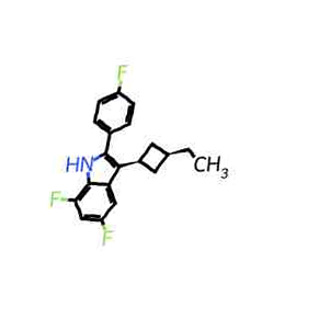 CC[C@H]1C[C@@H](c2c(-c3ccc(F)cc3)[nH]c3c(F)cc(F)cc32)C1